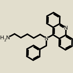 NCCCCCN(Cc1ccccc1)c1c2ccccc2nc2ccccc12